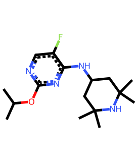 CC(C)Oc1ncc(F)c(NC2CC(C)(C)NC(C)(C)C2)n1